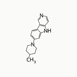 CC1CCN(c2ccc3c(c2)[nH]c2ccncc23)CC1